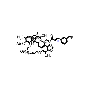 C=CCOc1c(C)c2c(c3c1CC1[C@@H]4c5c(cc(C)c(OC)c5OCOC)C[C@@H]([C@H](C#N)N1[C@H]3COC(=O)/C=C/c1cccc(CF)c1)N4C)OCO2